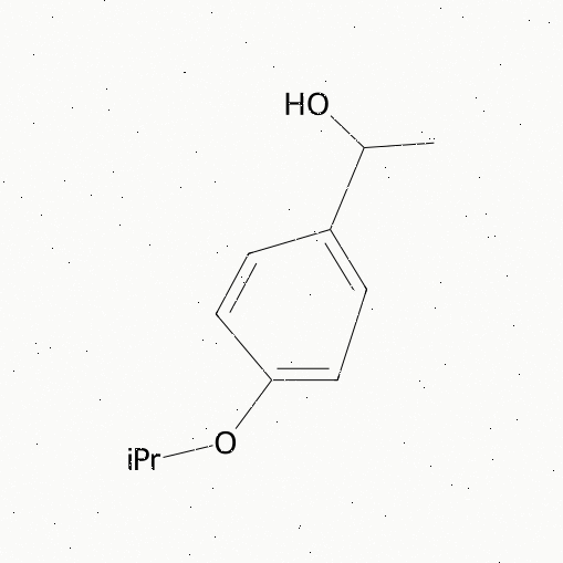 CC(C)Oc1ccc(C(C)O)cc1